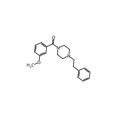 COc1cccc(C(=O)N2CCN(CCc3ccccc3)CC2)c1